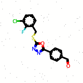 O=Cc1ccc(-c2nnc(SCc3cccc(Cl)c3F)o2)cc1